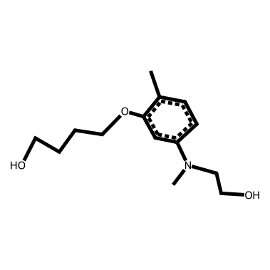 Cc1ccc(N(C)CCO)cc1OCCCCO